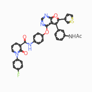 CC(=O)Nc1cccc(-c2c(-c3ccsc3)oc3ncnc(Oc4ccc(NC(=O)c5cccn(-c6ccc(F)cc6)c5=O)cc4)c23)c1